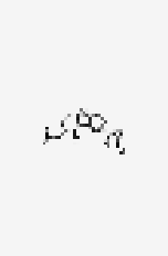 CN(C)CC1CCc2c(c3cc(C(N)=O)ccc3n2C)C1=O